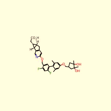 Cc1cc(OCC2CC(C)(O)C(C)(O)C2)cc(C)c1-c1cc(COc2cc3c(cn2)[C@@H]2[C@@H](CC(=O)O)[C@@H]2C3)c(F)cc1F